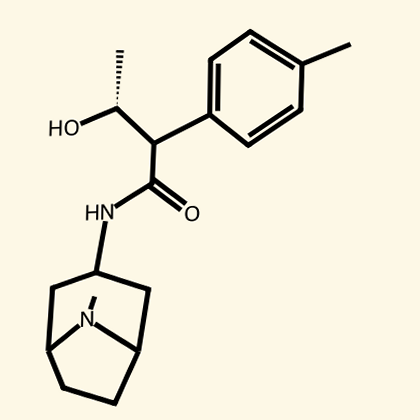 Cc1ccc(C(C(=O)NC2CC3CCC(C2)N3C)[C@@H](C)O)cc1